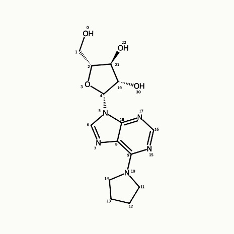 OC[C@H]1O[C@@H](n2cnc3c(N4CCCC4)ncnc32)[C@@H](O)[C@@H]1O